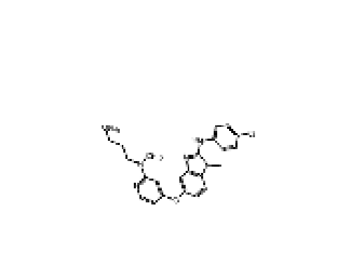 COCCCN(C=O)c1cc(Oc2ccc3c(c2)nc(Nc2ccc(Cl)cc2)n3C)ccn1